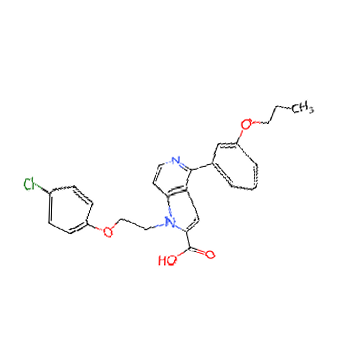 CCCOc1cccc(-c2nccc3c2cc(C(=O)O)n3CCOc2ccc(Cl)cc2)c1